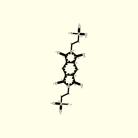 O=c1c2cc3c(=O)n(CCS(=O)(=O)F)c(=O)c3cc2c(=O)n1CCS(=O)(=O)F